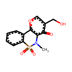 CN1c2c(occ(CO)c2=O)-c2ccccc2S1(=O)=O